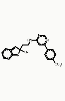 N#CC1(CCNc2cc(-c3ccc(C(=O)O)cc3)ncn2)C=c2ccccc2=N1